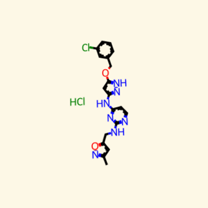 Cc1cc(CNc2nccc(Nc3cc(OCc4cccc(Cl)c4)[nH]n3)n2)on1.Cl